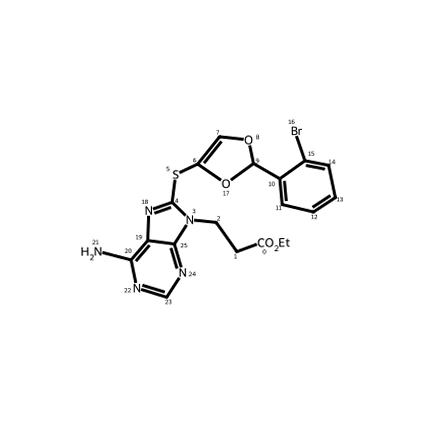 CCOC(=O)CCn1c(SC2=COC(c3ccccc3Br)O2)nc2c(N)ncnc21